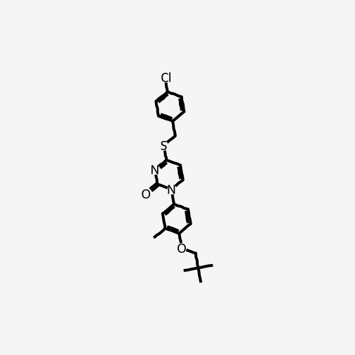 Cc1cc(-n2ccc(SCc3ccc(Cl)cc3)nc2=O)ccc1OCC(C)(C)C